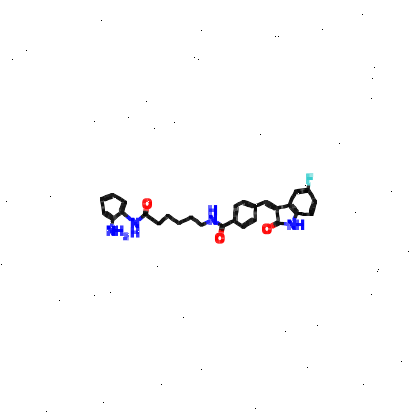 Nc1ccccc1NC(=O)CCCCCNC(=O)c1ccc(/C=C2\C(=O)Nc3ccc(F)cc32)cc1